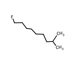 CC(C)CCCCCCCF